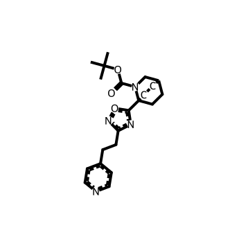 CC(C)(C)OC(=O)N1CC2CCC1(c1nc(CCc3ccncc3)no1)CC2